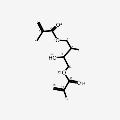 C=C(C)C(=O)OCC(C)C(O)COC(=O)C(=C)C